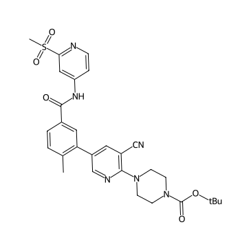 Cc1ccc(C(=O)Nc2ccnc(S(C)(=O)=O)c2)cc1-c1cnc(N2CCN(C(=O)OC(C)(C)C)CC2)c(C#N)c1